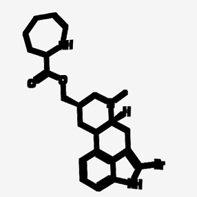 CN1C[C@H](COC(=O)C2CCCCCN2)CC2c3cccc4[nH]c(Br)c(c34)C[C@H]21